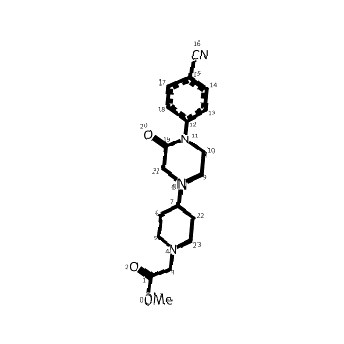 COC(=O)CN1CCC(N2CCN(c3ccc(C#N)cc3)C(=O)C2)CC1